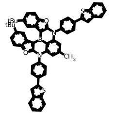 Cc1cc2c3c(c1)N(c1ccc(-c4cc5ccccc5s4)cc1)c1oc4ccc(C(C)(C)C)cc4c1B3c1c(oc3ccc(C(C)(C)C)cc13)N2c1ccc(-c2cc3ccccc3s2)cc1